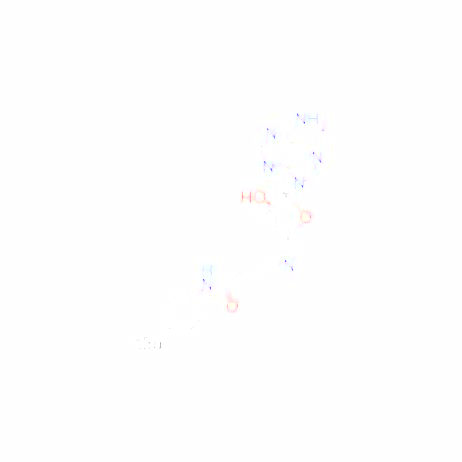 CN(CCCC(=O)Nc1ccc(C(C)(C)C)cc1)C[C@@H]1C[C@@H](O)[C@H](n2cnc3c(N)ncnc32)O1